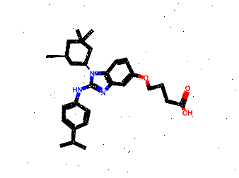 CC(C)c1ccc(Nc2nc3cc(OCCCC(=O)O)ccc3n2[C@@H]2C[C@@H](C)CC(C)(C)C2)cc1